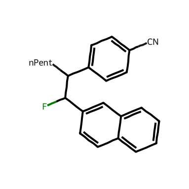 CCCCCC(c1ccc(C#N)cc1)C(F)c1ccc2ccccc2c1